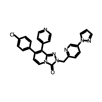 O=c1n(Cc2ccc(-n3cccn3)cn2)nc2c(-c3ccncc3)c(-c3ccc(Cl)cc3)ccn12